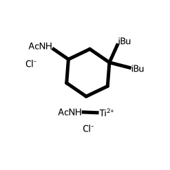 CC(=O)[NH][Ti+2].CCC(C)C1(C(C)CC)CCCC(NC(C)=O)C1.[Cl-].[Cl-]